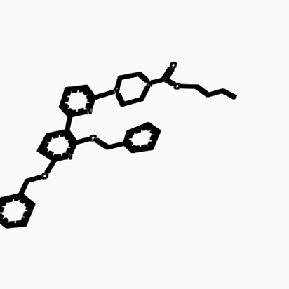 CCCCOC(=O)N1CCN(c2cccc(-c3ccc(OCc4ccccc4)nc3OCc3ccccc3)n2)CC1